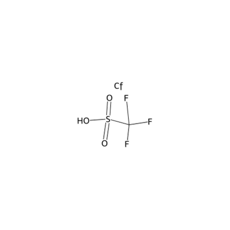 O=S(=O)(O)C(F)(F)F.[Cf]